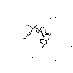 CCCCC(CC)C(=O)OC1=C(c2ccc(C)cc2F)C(=O)CC1